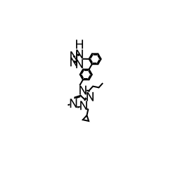 CCCC1N=C2C(=CN(C)CN2CC2CC2)N1Cc1ccc(-c2ccccc2-c2nnn[nH]2)cc1